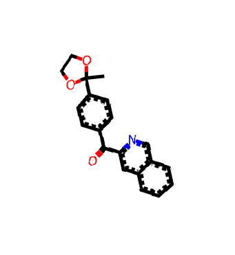 CC1(c2ccc(C(=O)c3cc4ccccc4cn3)cc2)OCCO1